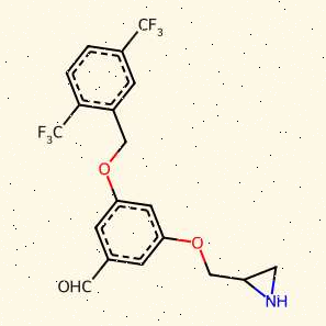 O=Cc1cc(OCc2cc(C(F)(F)F)ccc2C(F)(F)F)cc(OCC2CN2)c1